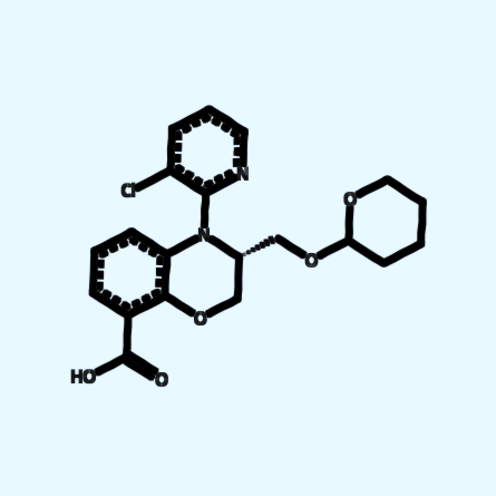 O=C(O)c1cccc2c1OC[C@@H](COC1CCCCO1)N2c1ncccc1Cl